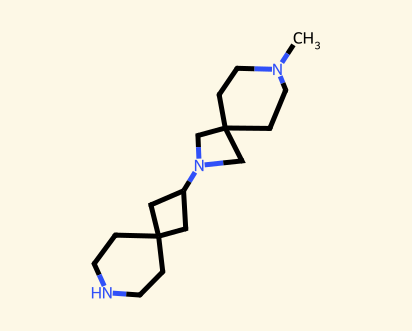 CN1CCC2(CC1)CN(C1CC3(CCNCC3)C1)C2